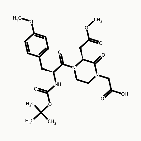 COC(=O)C[C@H]1C(=O)N(CC(=O)O)CCN1C(=O)[C@H](Cc1ccc(OC)cc1)NC(=O)OC(C)(C)C